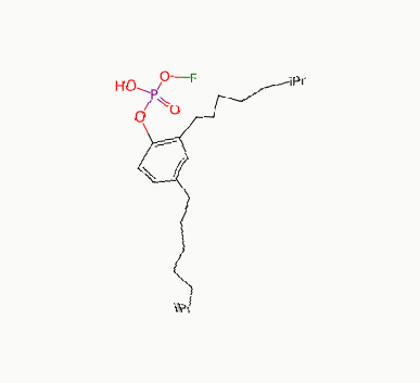 CC(C)CCCCCc1ccc(OP(=O)(O)OF)c(CCCCCC(C)C)c1